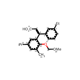 CCc1cccc(C(=CC(=O)O)c2cc(C(C)C)cc(C)c2OCOC)c1